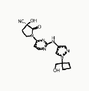 N#C[C@@]1(O)CCN(c2ccnc(Nc3cnn(C4(CO)CCC4)c3)n2)C1=O